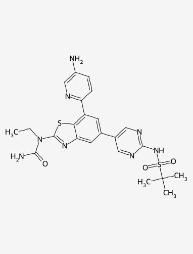 CCN(C(N)=O)c1nc2cc(-c3cnc(NS(=O)(=O)C(C)(C)C)nc3)cc(-c3ccc(N)cn3)c2s1